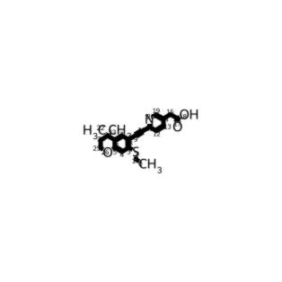 CCSc1cc2c(cc1C#Cc1ccc(CC(=O)O)cn1)C(C)(C)CCO2